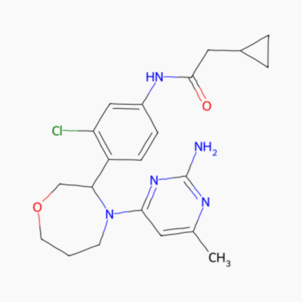 Cc1cc(N2CCCOCC2c2ccc(NC(=O)CC3CC3)cc2Cl)nc(N)n1